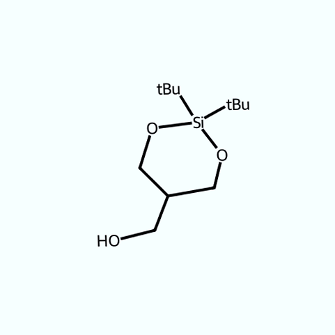 CC(C)(C)[Si]1(C(C)(C)C)OCC(CO)CO1